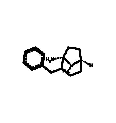 CN1[C@@H]2CCC(Cc3ccccc3)[C@@]1(N)CC2